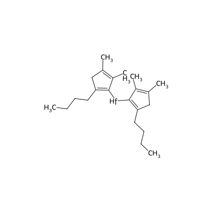 CCCCC1=[C]([Hf][C]2=C(CCCC)CC(C)=C2C)C(C)=C(C)C1